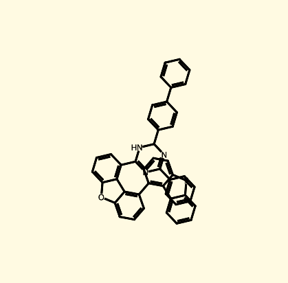 c1ccc(C2=NC(c3ccc(-c4ccccc4)cc3)NC(c3cccc4oc5cccc(-c6cccc7sc8ccccc8c67)c5c34)=N2)cc1